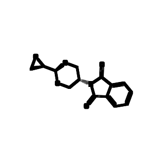 O=C1c2ccccc2C(=O)N1[C@H]1CO[C@H]([C@H]2CO2)OC1